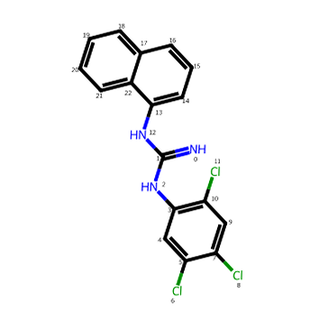 N=C(Nc1cc(Cl)c(Cl)cc1Cl)Nc1cccc2ccccc12